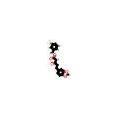 O=C(CCc1ccc2c(c1)OCO2)CC(=O)OCc1cccc(F)c1